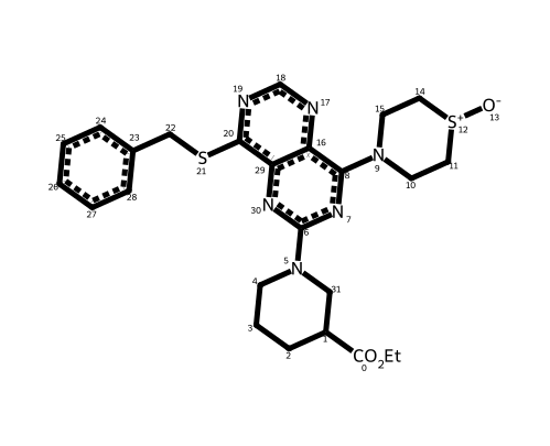 CCOC(=O)C1CCCN(c2nc(N3CC[S+]([O-])CC3)c3ncnc(SCc4ccccc4)c3n2)C1